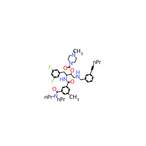 CCCC#Cc1cccc(CNCC(OC(=O)N2CCN(C)CC2)C(Cc2cc(F)cc(F)c2)NC(=O)c2cc(C)cc(C(=O)N(CCC)CCC)c2)c1